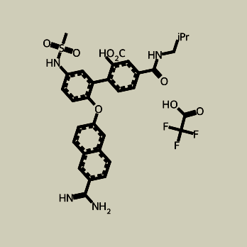 CC(C)CNC(=O)c1ccc(-c2cc(NS(C)(=O)=O)ccc2Oc2ccc3cc(C(=N)N)ccc3c2)c(C(=O)O)c1.O=C(O)C(F)(F)F